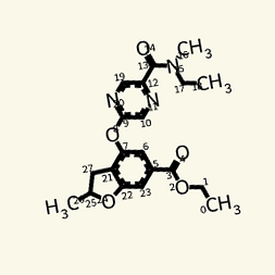 CCOC(=O)c1cc(Oc2cnc(C(=O)N(C)CC)cn2)c2c(c1)OC(C)C2